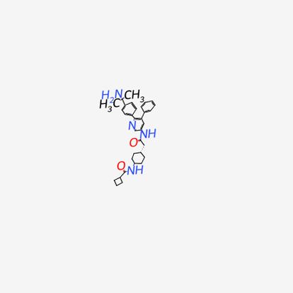 CC(C)(N)c1ccc(-c2ncc(NC(=O)C[C@H]3CC[C@H](NC(=O)C4CCC4)CC3)cc2-c2ccccc2)cc1